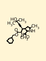 Cc1cc2c(C#CC(C)(C)O)c(C(=O)OCc3ccccc3)n(C)c(=O)c2[nH]1